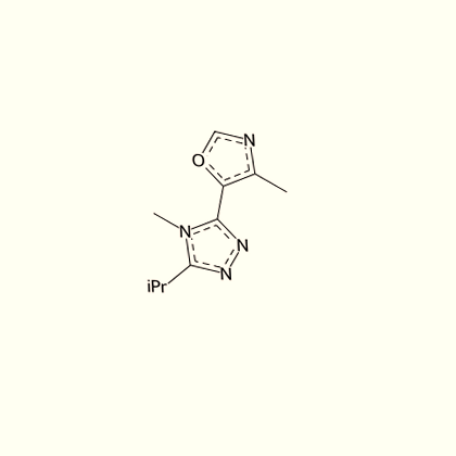 Cc1ncoc1-c1nnc(C(C)C)n1C